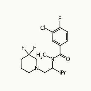 CC(C)C(CN1CCCC(F)(F)C1)N(C)C(=O)c1ccc(F)c(Cl)c1